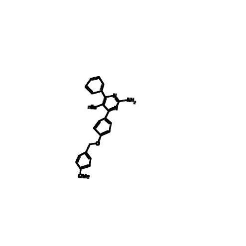 CCCCc1c(-c2ccccc2)nc(N)nc1-c1ccc(OCc2ccc(OC)cc2)cc1